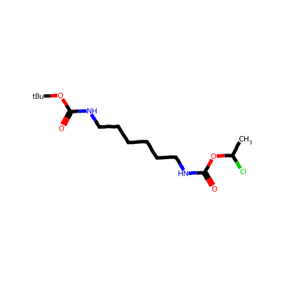 CC(Cl)OC(=O)NCCCCCCNC(=O)OC(C)(C)C